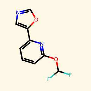 FC(F)Oc1cccc(-c2cnco2)n1